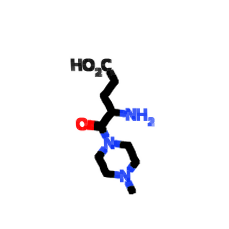 CN1CCN(C(=O)C(N)CCC(=O)O)CC1